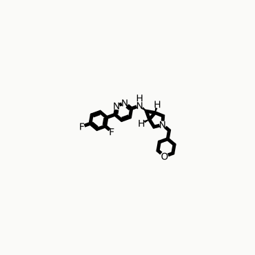 Fc1ccc(-c2ccc(N[C@H]3[C@@H]4CN(CC5CCOCC5)C[C@@H]43)nn2)c(F)c1